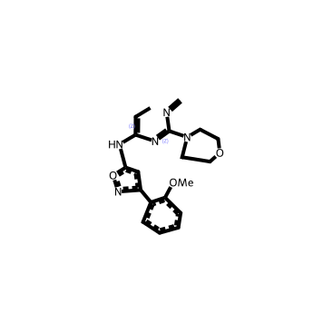 C=N/C(=N\C(=C/C)Nc1cc(-c2ccccc2OC)no1)N1CCOCC1